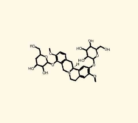 COc1cc2c(cc1OC1OC(CO)C(O)C(O)C1O)[C@@H]1Cc3ccc(OC)c(OC4OC(CO)CC(O)C4O)c3CN1CC2